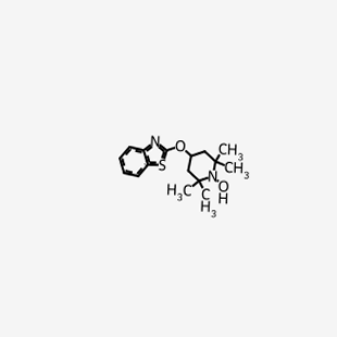 CC1(C)CC(Oc2nc3ccccc3s2)CC(C)(C)N1O